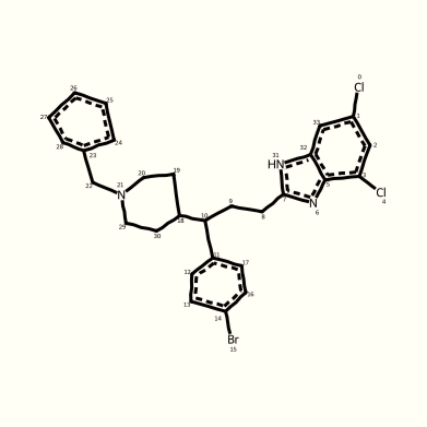 Clc1cc(Cl)c2nc(CCC(c3ccc(Br)cc3)C3CCN(Cc4ccccc4)CC3)[nH]c2c1